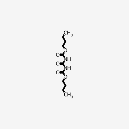 CCCCOC(=O)NC(=O)NC(=O)OCCCC